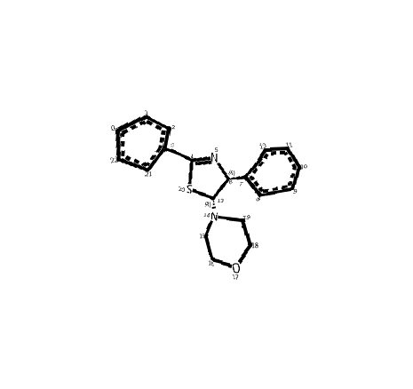 c1ccc(C2=N[C@@H](c3ccccc3)[C@H](N3CCOCC3)S2)cc1